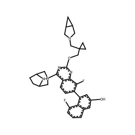 Oc1cc(-c2ccc3c(N4CC5CCC(C4)N5)nc(OCC4(CN5CC6CC6C5)CC4)nc3c2F)c2c(F)cccc2c1